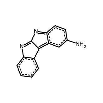 Nc1ccc2c(c1)=C1C(=Nc3ccccc31)N=2